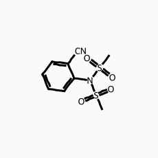 CS(=O)(=O)N(c1ccccc1C#N)S(C)(=O)=O